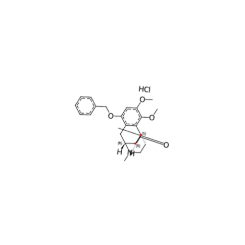 COc1cc(OCc2ccccc2)c2c(c1OC)[C@]13CCN(C)[C@H](C2)[C@@H]1CCC(=O)C3.Cl